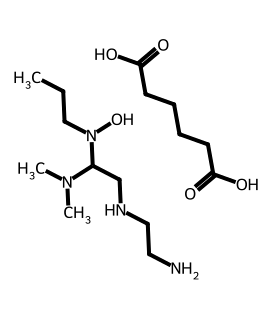 CCCN(O)C(CNCCN)N(C)C.O=C(O)CCCCC(=O)O